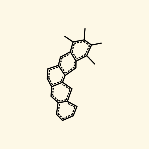 Cc1c(C)c(C)c2cc3c(ccc4cc5ccccc5cc43)cc2c1C